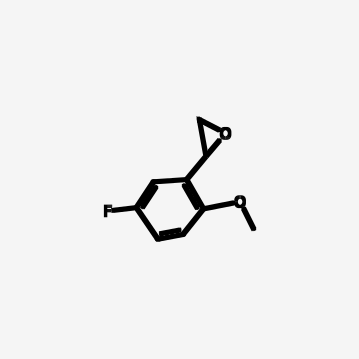 COc1ccc(F)cc1C1CO1